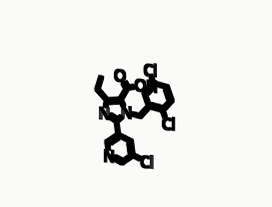 CCc1nc(-c2cncc(Cl)c2)n(Cc2cc(Cl)ccc2Cl)c1C(=O)O